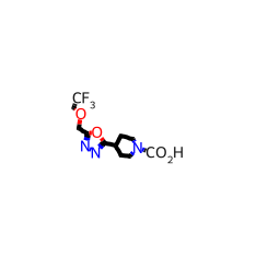 O=C(O)N1CCC(c2nnc(COCC(F)(F)F)o2)CC1